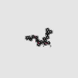 C=C(c1ccccc1)c1sc2c(-c3cccc(-c4cc5c6ccccc6c6ccccc6c5cn4)c3)cccc2c1/C(=C\C)c1ccc2c(c1)c1ccccc1c1cnc(-c3cccc(-c4cccc(-c5cccc6c5sc5ccccc56)c4)c3)cc21